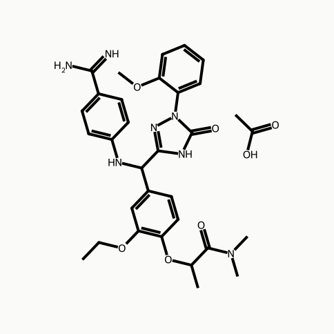 CC(=O)O.CCOc1cc(C(Nc2ccc(C(=N)N)cc2)c2nn(-c3ccccc3OC)c(=O)[nH]2)ccc1OC(C)C(=O)N(C)C